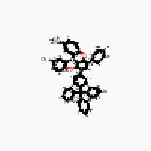 CC(C)(C)c1ccc2c(c1)B1c3cc(C(C)(C)C)ccc3Oc3c(-c4ccc(C(c5ccccc5)(c5ccccc5)c5ccccc5)cc4)cc(-c4ccccc4)c(c31)O2